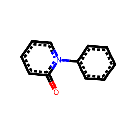 O=c1ccccn1-c1ccccc1